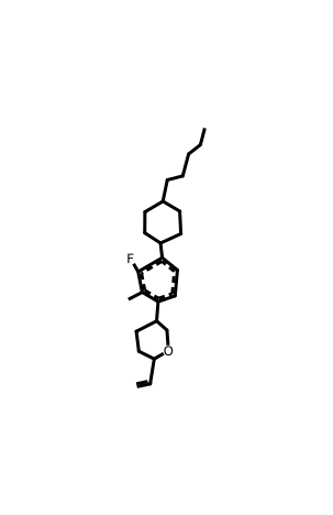 C=CC1CCC(c2ccc(C3CCC(CCCCC)CC3)c(F)c2C)CO1